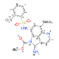 CC(=O)Nc1cc(NS(=O)(=O)c2ccccc2[N+](=O)[O-])c2c3c(ccnc13)C(N)N2C(=O)OC(C)(C)C